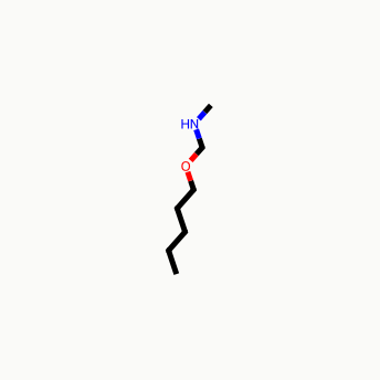 CCCCCOCNC